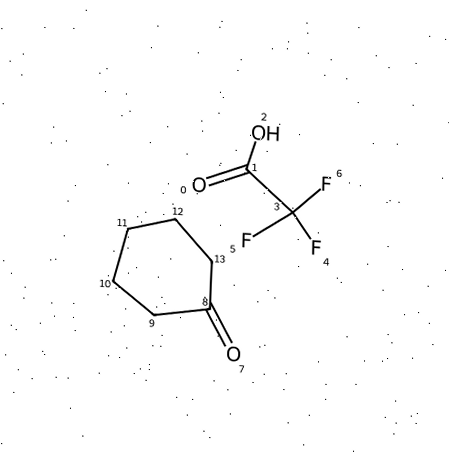 O=C(O)C(F)(F)F.O=C1CCCCC1